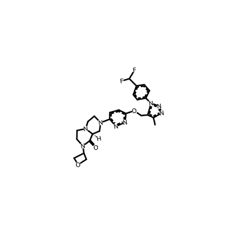 Cc1nnn(-c2ccc(C(F)F)cc2)c1COc1ccc(N2CCN3CCN(C4COC4)C(=O)[C@@H]3C2)nn1